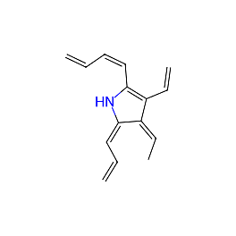 C=C/C=C\c1[nH]c(=C/C=C)/c(=C\C)c1C=C